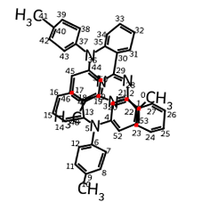 Cc1ccc(N(c2ccc(C)cc2)c2ccccc2-c2nc(-c3ccccc3)nc(-c3ccccc3N(c3ccc(C)cc3)c3ccc(C)cc3)n2)cc1